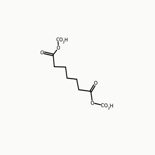 O=C(O)OC(=O)CCCCCC(=O)OC(=O)O